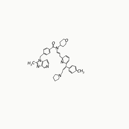 Cc1ccc(C(=CCN2CCCC2)c2cccc(CC=CN(C(=O)c3ccc(Cn4c(C)nc5cnccc54)cc3)C3CCOCC3)n2)cc1